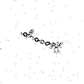 CC(NC(=O)CCl)[C@H](C)n1ncn(-c2ccc(N3CCN(c4ccc(OC[C@H]5CO[C@@](Cn6cncn6)(c6ccc(F)cc6F)O5)cc4)CC3)cc2)c1=O